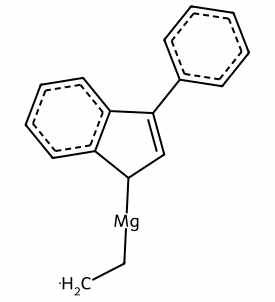 [CH2][CH2][Mg][CH]1C=C(c2ccccc2)c2ccccc21